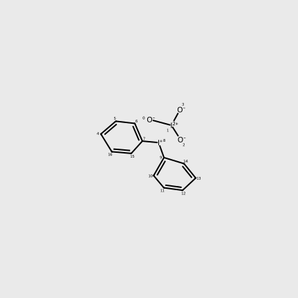 [O-][I+2]([O-])[O-].c1ccc([I+]c2ccccc2)cc1